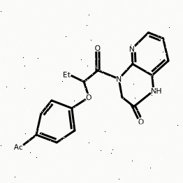 CCC(Oc1ccc(C(C)=O)cc1)C(=O)N1CC(=O)Nc2cccnc21